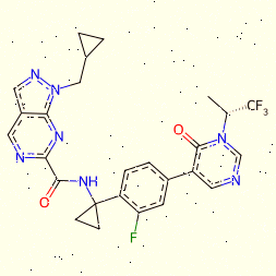 C[C@@H](n1cncc(-c2ccc(C3(NC(=O)c4ncc5cnn(CC6CC6)c5n4)CC3)c(F)c2)c1=O)C(F)(F)F